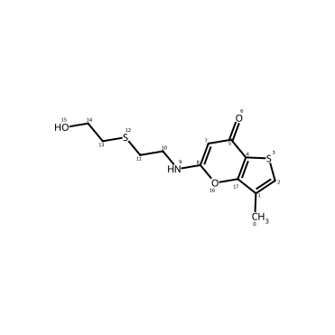 Cc1csc2c(=O)cc(NCCSCCO)oc12